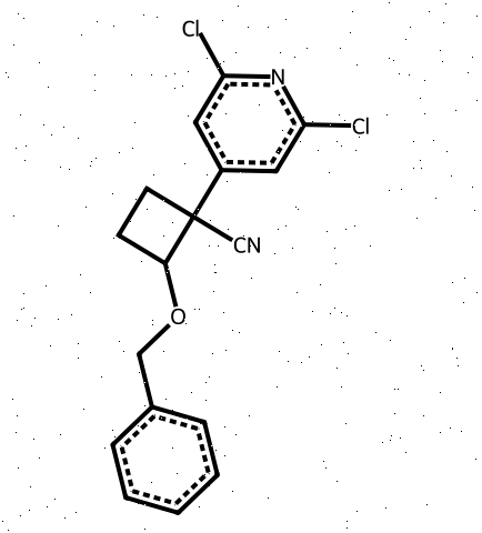 N#CC1(c2cc(Cl)nc(Cl)c2)CCC1OCc1ccccc1